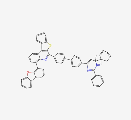 CC1(C2(C)C=C(c3ccc(-c4ccc(-c5nc6c(-c7cccc8c7oc7ccccc78)cccc6c6c5sc5ccccc56)cc4)cc3)N=C(c3ccccc3)N2)C=CC=CC1